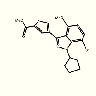 COC(=O)c1cc(-c2nn(C3CCCC3)c3c(Br)cnc(OC)c23)cs1